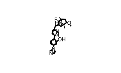 CO[C@@H]1C[C@]2(C)N[C@@]1(C)C/C(=C\c1ccc(-c3ccc(-n4ccnc4)cc3O)nn1)[C@@H]2F